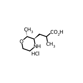 CC(C[C@H]1NCCO[C@@H]1C)C(=O)O.Cl